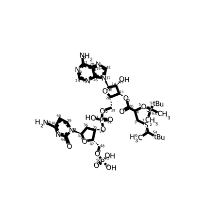 CC(SCC(O[Si](C)(C)C(C)(C)C)C(=O)O[C@H]1[C@@H](O)[C@H](n2cnc3c(N)ncnc32)O[C@H]1COP(=O)(O)O[C@H]1C[C@H](n2ccc(N)nc2=O)O[C@H]1COP(=O)(O)O)C(C)(C)C